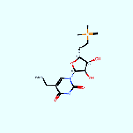 C=P(C)(C)CC[C@H]1O[C@@H](n2cc(CNC)c(=O)[nH]c2=O)C(O)[C@@H]1O